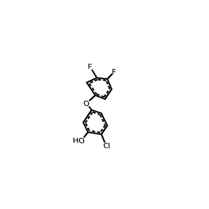 Oc1cc(Oc2ccc(F)c(F)c2)ccc1Cl